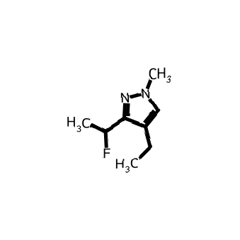 CCc1cn(C)nc1C(C)F